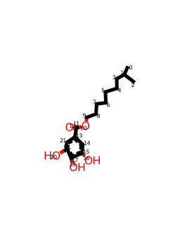 CC(C)CCCCCCCOC(=O)c1cc(O)c(O)c(O)c1